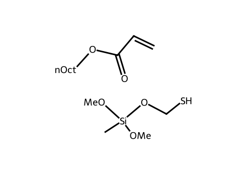 C=CC(=O)OCCCCCCCC.CO[Si](C)(OC)OCS